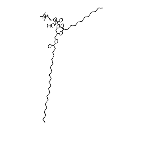 CCCCCCCCCCCCCCCCCCCCCC(=O)OCC(COP(=O)(O)OCC[N+](C)(C)C)OC(=O)CCCCCCCCCCC